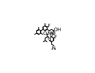 Cc1cc(C)c(-c2cc(C)c(F)c(C(CC(=O)O)NC(=O)C(CC(C)C)n3cc(CCN(C)C)cc(F)c3=O)c2)c(C)c1